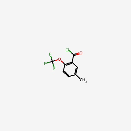 Cc1ccc(OC(F)(F)F)c(C(=O)Cl)c1